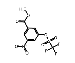 COC(=O)c1cc(OS(=O)(=O)C(F)(F)F)cc([N+](=O)[O-])c1